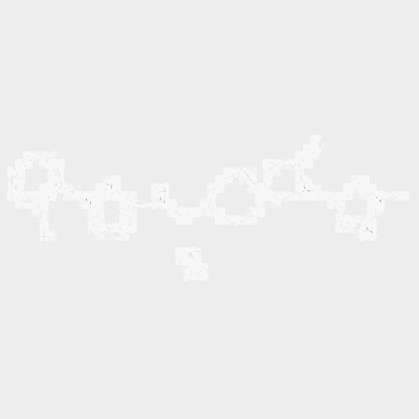 Cl.Cl.Cn1cc(N2C[C@]3(CC[C@@H](CNc4ccn(-c5ccccc5F)n4)CC3)OC2=O)cn1